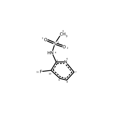 CS(=O)(=O)Nc1ncccc1F